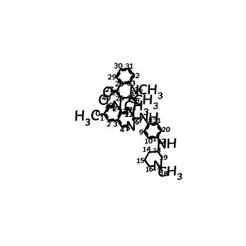 Cc1cc2cnc(Nc3ccc(NC4CCCN(C)C4)cc3)nc2n(C2C(=O)c3ccccc3N(C)C2(C)C)c1=O